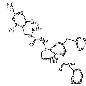 Cc1cc(C)c(C[C@H](N)C(=O)N[C@@H]2CCNc3c(C(=O)Nc4ccccc4)cc(Cc4ccccc4)cc32)c(C)c1